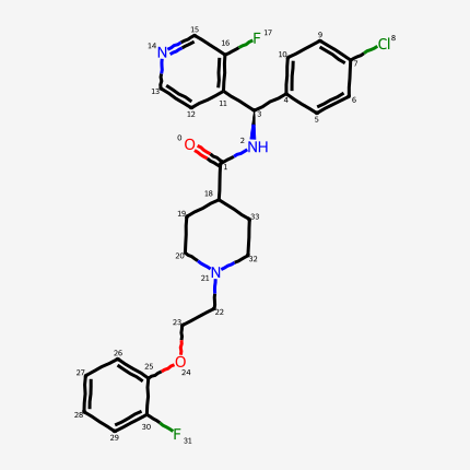 O=C(N[C@H](c1ccc(Cl)cc1)c1ccncc1F)C1CCN(CCOc2ccccc2F)CC1